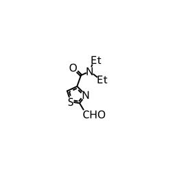 CCN(CC)C(=O)c1csc(C=O)n1